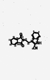 N#Cc1[nH]c2ccccc2c1CCN1C(=O)c2ccccc2C1=O